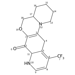 O=C1C2=C(CC3=C(C(F)(F)F)C=CNC13)N1CCCCC1CO2